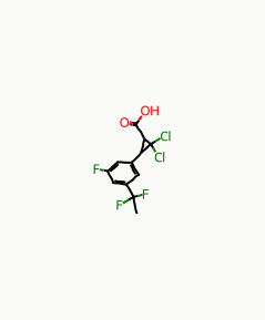 CC(F)(F)c1cc(F)cc(C2C(C(=O)O)C2(Cl)Cl)c1